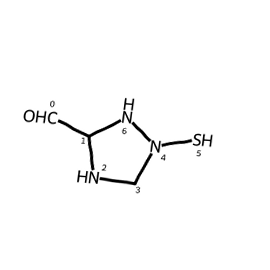 O=CC1NCN(S)N1